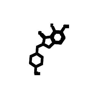 CC(C)(C)C1CCC(CN2Cc3ccc(O)c(F)c3C2=O)CC1